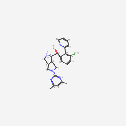 Cc1cc(C)nc(N2CC3CNC(C(=O)c4cccc(F)c4-c4ccccn4)C3C2)n1